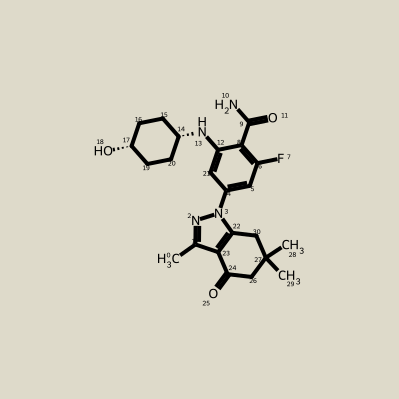 Cc1nn(-c2cc(F)c(C(N)=O)c(N[C@H]3CC[C@@H](O)CC3)c2)c2c1C(=O)CC(C)(C)C2